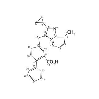 Cc1ccnc2c1nc(C1CC1)n2Cc1ccc(-c2ccccc2)c(C(=O)O)c1